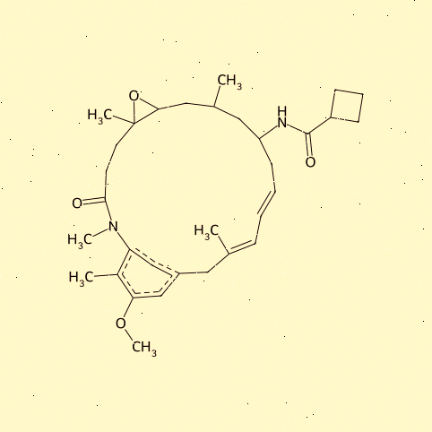 COc1cc2cc(c1C)N(C)C(=O)CCC1(C)OC1CC(C)CC(NC(=O)C1CCC1)C/C=C/C=C(\C)C2